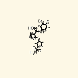 NS(=O)(=O)N1CCC(Sc2nonc2C(=NO)Nc2ccc(F)c(Br)c2)C1